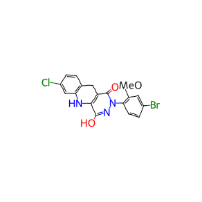 COc1cc(Br)ccc1-n1nc(O)c2c(c1=O)Cc1ccc(Cl)cc1N2